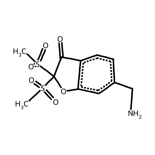 CS(=O)(=O)C1(S(C)(=O)=O)Oc2cc(CN)ccc2C1=O